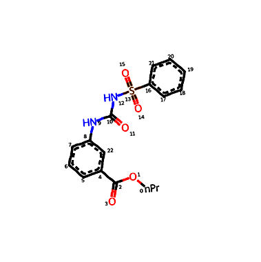 CCCOC(=O)c1cccc(NC(=O)NS(=O)(=O)c2ccccc2)c1